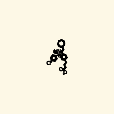 COC(=O)CCCc1ccc(C(CC2CCCCCC2)NS(=O)(=O)c2ccc(Cl)cc2)cc1